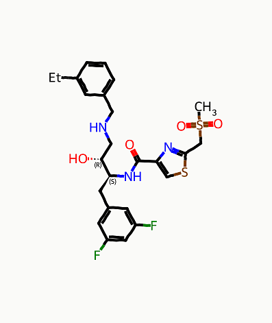 CCc1cccc(CNC[C@@H](O)[C@H](Cc2cc(F)cc(F)c2)NC(=O)c2csc(CS(C)(=O)=O)n2)c1